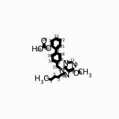 CCCCc1nc2c(OC)ncnc2n1Cc1ccc(-c2ccccc2OC(=O)O)cc1